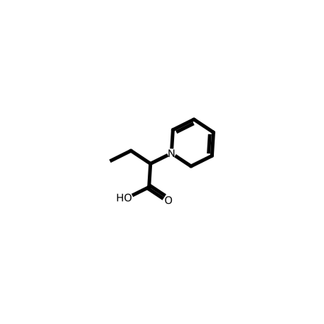 CCC(C(=O)O)N1C=CC=CC1